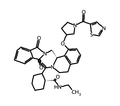 CCNC(=O)[C@@H]1CCCCC1C(=O)N1CCc2cccc(OC3CCN(C(=O)c4cncs4)C3)c2[C@H]1CN1C(=O)c2ccccc2C1=O